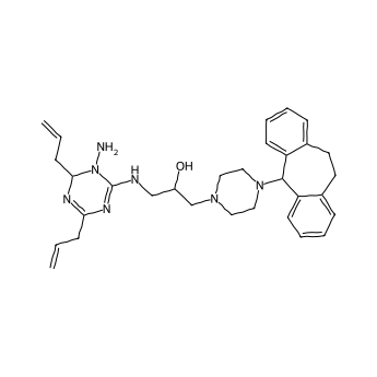 C=CCC1=NC(CC=C)N(N)C(NCC(O)CN2CCN(C3c4ccccc4CCc4ccccc43)CC2)=N1